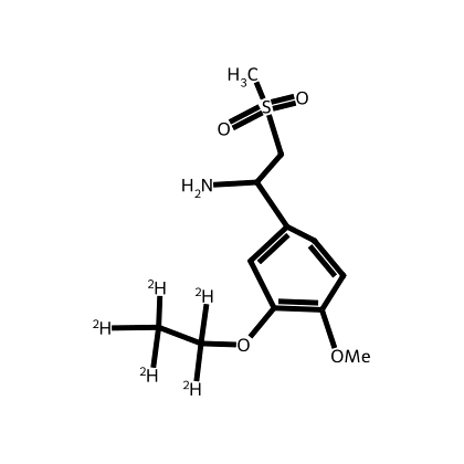 [2H]C([2H])([2H])C([2H])([2H])Oc1cc(C(N)CS(C)(=O)=O)ccc1OC